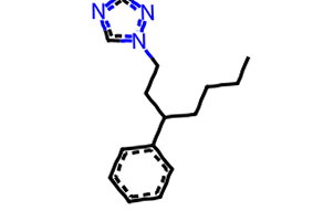 CCCCC(CCn1cncn1)c1ccccc1